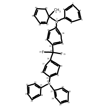 CC1(N(c2ccccc2)c2ccc(C(F)(F)c3ccc(N(c4ccccc4)c4ccccc4)cc3)cc2)C=CC=CC1